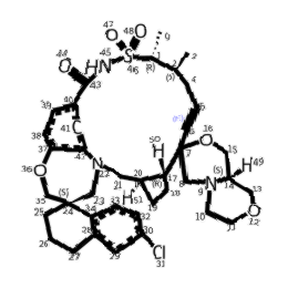 C[C@@H]1[C@@H](C)C/C=C/C2(CN3CCOC[C@H]3CO2)[C@@H]2CC[C@H]2CN2C[C@@]3(CCCc4cc(Cl)ccc43)COc3ccc(cc32)C(=O)NS1(=O)=O